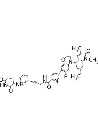 CCc1cc(N2CCOc3cc(-c4ccc(C(=O)NCC#Cc5cccc(NC6CCC(=O)NC6=O)c5)nc4)c(F)cc32)c2cc(C)c(=O)n(C)c2c1